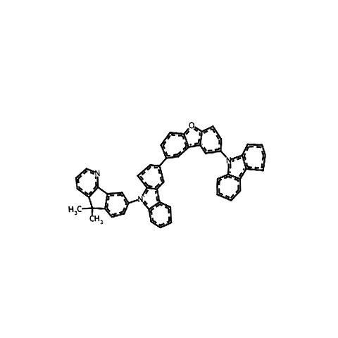 CC1(C)c2ccc(-n3c4ccccc4c4cc(-c5ccc6oc7ccc(-n8c9ccccc9c9ccccc98)cc7c6c5)ccc43)cc2-c2ncccc21